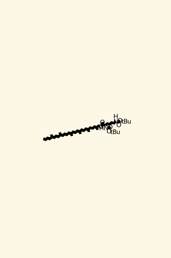 C=C/C=C/C(C)=C/C=C/C(C)=C/C=C/C=C(C)/C=C/C=C(C)/C=C/C=C(\C)CC/C=C(\C)COC(=O)C(CCCCNC(=O)OC(C)(C)C)NC(=O)OC(C)(C)C